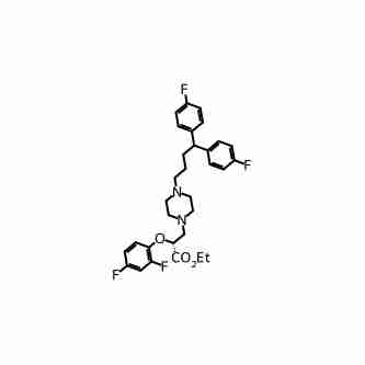 CCOC(=O)[C@@H](CN1CCN(CCCC(c2ccc(F)cc2)c2ccc(F)cc2)CC1)Oc1ccc(F)cc1F